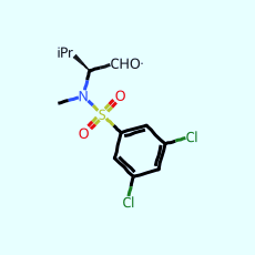 CC(C)[C@@H]([C]=O)N(C)S(=O)(=O)c1cc(Cl)cc(Cl)c1